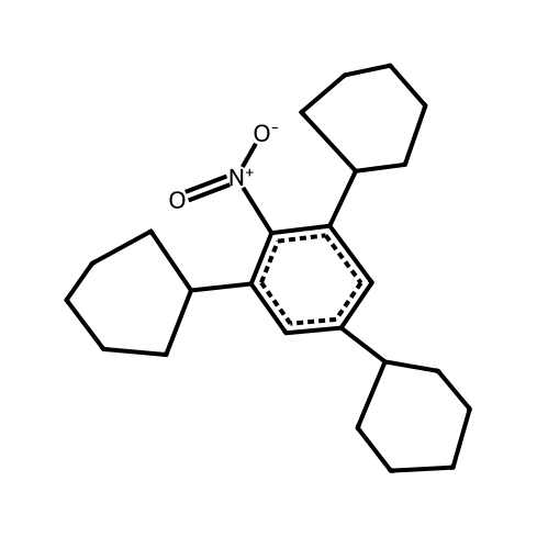 O=[N+]([O-])c1c(C2CCCCC2)cc(C2CCCCC2)cc1C1CCCCC1